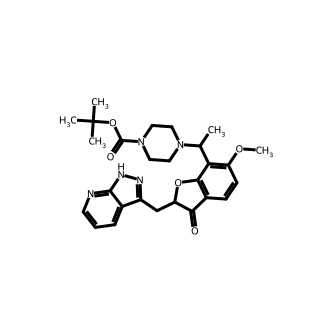 COc1ccc2c(c1C(C)N1CCN(C(=O)OC(C)(C)C)CC1)OC(Cc1n[nH]c3ncccc13)C2=O